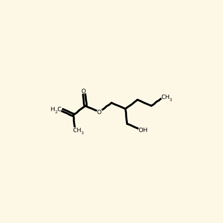 C=C(C)C(=O)OCC(CO)CCC